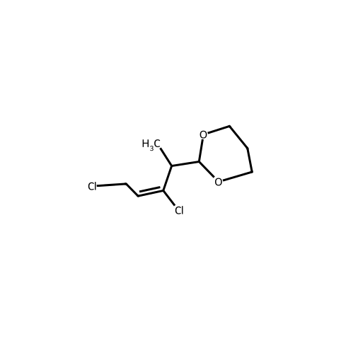 CC(/C(Cl)=C\CCl)C1OCCCO1